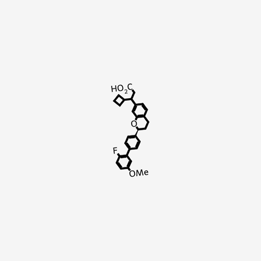 COc1ccc(F)c(-c2ccc([C@@H]3CCc4ccc(C(CC(=O)O)C5CCC5)cc4O3)cc2)c1